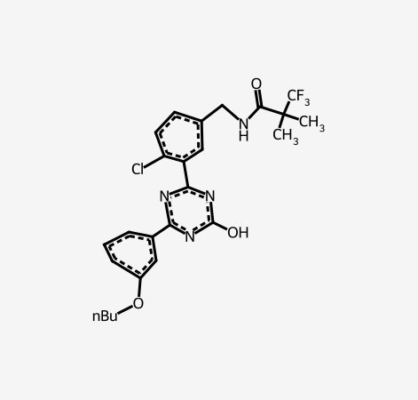 CCCCOc1cccc(-c2nc(O)nc(-c3cc(CNC(=O)C(C)(C)C(F)(F)F)ccc3Cl)n2)c1